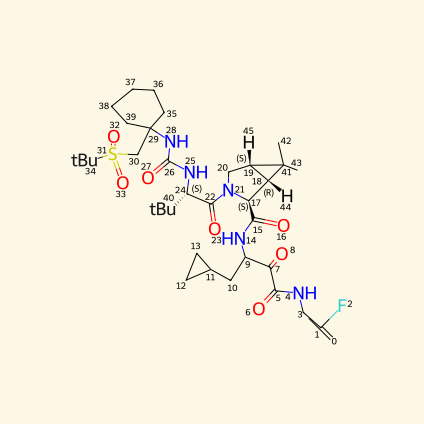 C=C(F)CNC(=O)C(=O)C(CC1CC1)NC(=O)[C@@H]1[C@@H]2[C@H](CN1C(=O)[C@@H](NC(=O)NC1(CS(=O)(=O)C(C)(C)C)CCCCC1)C(C)(C)C)C2(C)C